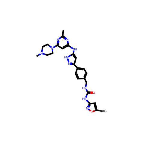 Cc1nc(Nc2cc(-c3ccc(CNC(=O)Nc4cc(C(C)(C)C)on4)cc3)n[nH]2)cc(N2CCN(C)CC2)n1